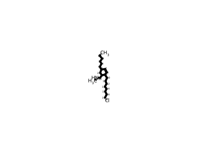 CCCCCCC1C=CC(CCCCCCCCCl)C(CNC)C1